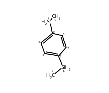 C[SiH2]c1ccc([SiH2]C)cc1